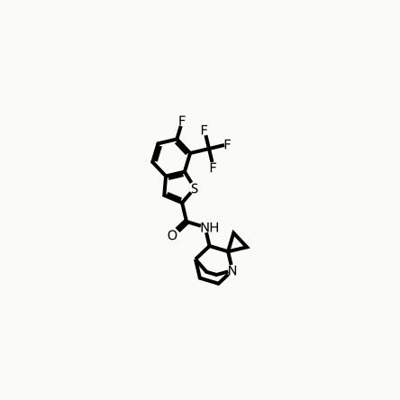 O=C(NC1C2CCN(CC2)C12CC2)c1cc2ccc(F)c(C(F)(F)F)c2s1